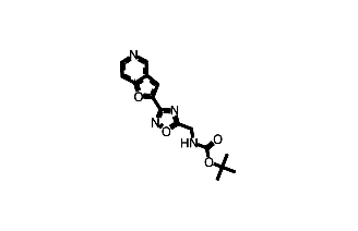 CC(C)(C)OC(=O)NCc1nc(-c2cc3cnccc3o2)no1